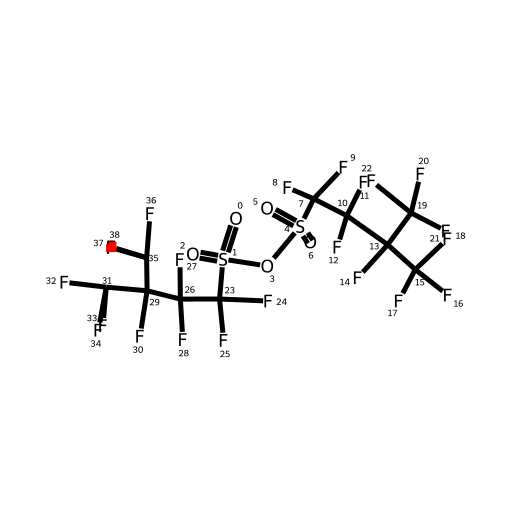 O=S(=O)(OS(=O)(=O)C(F)(F)C(F)(F)C(F)(C(F)(F)F)C(F)(F)F)C(F)(F)C(F)(F)C(F)(C(F)(F)F)C(F)(F)F